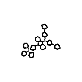 c1ccc(-c2ccc(N(c3ccc(-c4ccccc4)cc3)c3c4c(c(-c5ccc([Si](c6ccccc6)(c6ccccc6)c6ccccc6)cc5)c5c3CCCC5)CCCC4)cc2)cc1